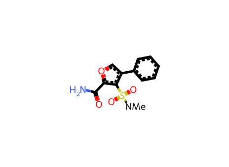 CNS(=O)(=O)c1c(-c2ccccc2)coc1C(N)=O